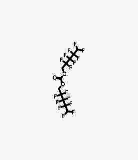 O=C(OCC(F)(F)C(F)(F)C(F)(F)C(F)F)OCC(F)(F)C(F)(F)C(F)(F)C(F)F